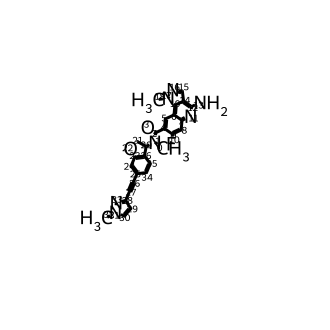 CN(C(=O)c1cc2c(cc1F)nc(N)c1cnn(C)c12)C1COc2cc(C#Cc3ccn(C)n3)ccc21